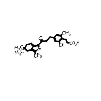 CCc1cc(CCC(=O)c2sc(C(F)(F)F)c3c2CCC(C)(C)C3)cc(C)c1CCC(=O)O